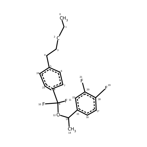 CCCCCc1ccc(C(F)(F)OC(C)c2ccc(F)c(F)c2)cc1